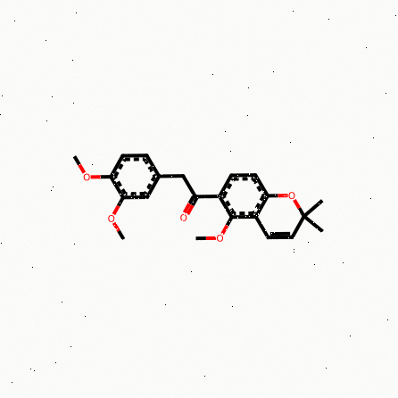 COc1ccc(CC(=O)c2ccc3c(c2OC)C=CC(C)(C)O3)cc1OC